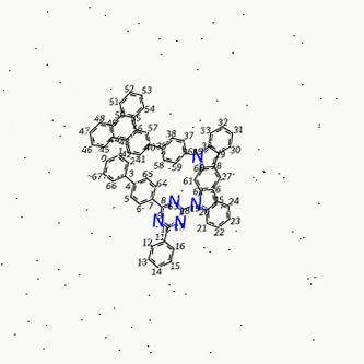 c1ccc(-c2ccc(-c3nc(-c4ccccc4)nc(-n4c5ccccc5c5cc6c7ccccc7n(-c7ccc(-c8ccc9c%10ccccc%10c%10ccccc%10c9c8)cc7)c6cc54)n3)cc2)cc1